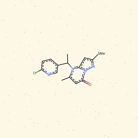 CSc1cc2n(C(C)c3ccc(Cl)nc3)c(C)cc(=O)n2n1